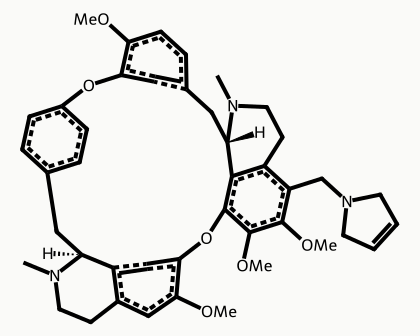 COc1ccc2cc1Oc1ccc(cc1)C[C@H]1c3cc(c(OC)cc3CCN1C)Oc1c(OC)c(OC)c(CN3CC=CC3)c3c1[C@H](C2)N(C)CC3